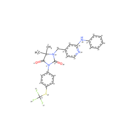 CC1(C)C(=O)N(c2ccc(SC(F)(F)F)cc2)C(=O)N1Cc1ccnc(Nc2ccccc2)c1